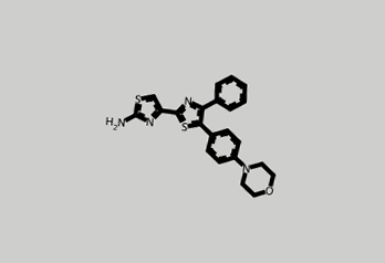 Nc1nc(-c2nc(-c3ccccc3)c(-c3ccc(N4CCOCC4)cc3)s2)cs1